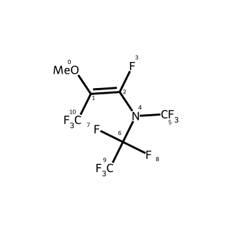 COC(=C(F)N(C(F)(F)F)C(F)(F)C(F)(F)F)C(F)(F)F